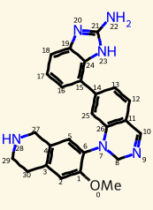 COc1cc2c(cc1N1CN=Cc3ccc(-c4cccc5nc(N)[nH]c45)cc31)CNCC2